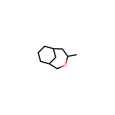 CC1CC2CCCC(CO1)C2